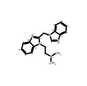 CN(C)CCn1c(Cn2cnc3ccccc32)nc2ccccc21